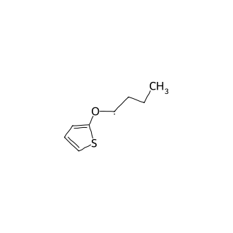 CCC[CH]Oc1cccs1